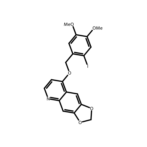 COc1cc(I)c(COc2ccnc3cc4c(cc23)OCO4)cc1OC